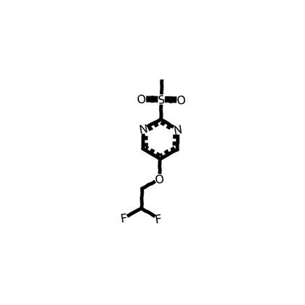 CS(=O)(=O)c1ncc(OCC(F)F)cn1